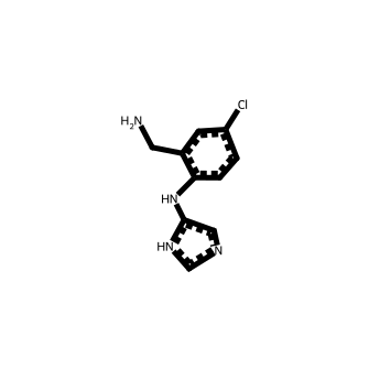 NCc1cc(Cl)ccc1Nc1cnc[nH]1